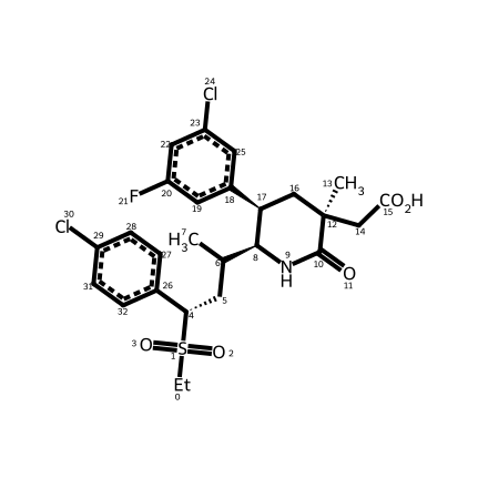 CCS(=O)(=O)[C@@H](CC(C)[C@@H]1NC(=O)[C@](C)(CC(=O)O)C[C@@H]1c1cc(F)cc(Cl)c1)c1ccc(Cl)cc1